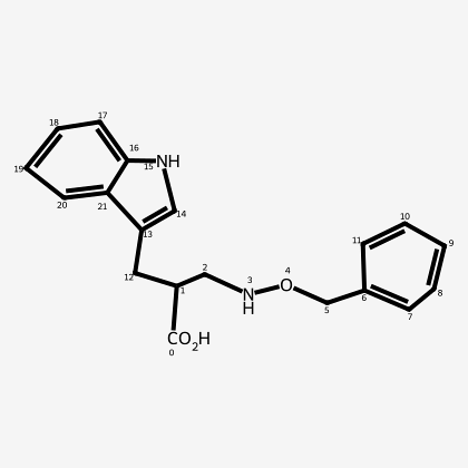 O=C(O)C(CNOCc1ccccc1)Cc1c[nH]c2ccccc12